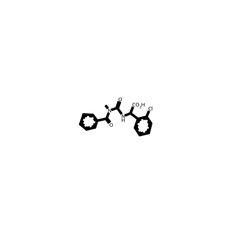 CN(C(=O)NC(C(=O)O)c1ccccc1Cl)C(=O)c1ccccc1